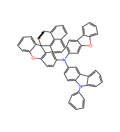 c1ccc(-n2c3ccccc3c3cc(N(c4ccc5c(c4)C4(c6ccccc6O5)c5ccccc5-c5cccc6cccc4c56)c4ccc5c(c4)oc4ccccc45)ccc32)cc1